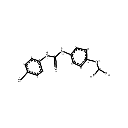 O=C(Nc1ccc(Cl)cc1)Nc1ccc(OC(F)F)cc1